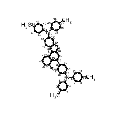 Cc1ccc(N(c2ccc(C)cc2)c2ccc3c(c2)Sc2cccc4c2c-3cc2sc3cc(N(c5ccc(C)cc5)c5ccc(C)cc5)ccc3c24)cc1